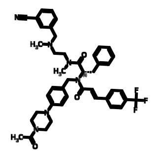 CC(=O)N1CCN(c2ccc(CN(C(=O)C=Cc3ccc(C(F)(F)F)cc3)[C@@H](Cc3ccccc3)C(=O)N(C)CCN(C)Cc3cccc(C#N)c3)cc2)CC1